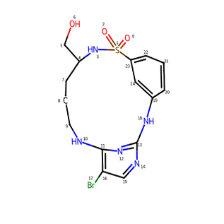 O=S1(=O)NC(CO)CCCNc2nc(ncc2Br)Nc2cccc1c2